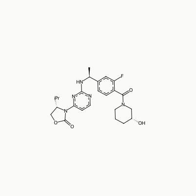 CC(C)[C@H]1COC(=O)N1c1ccnc(N[C@@H](C)c2ccc(C(=O)N3CCC[C@@H](O)C3)c(F)c2)n1